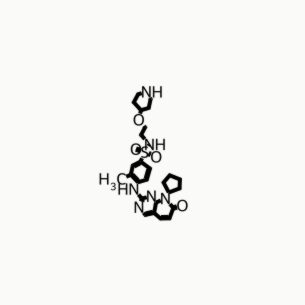 Cc1cc(S(=O)(=O)NCCOC2CCNCC2)ccc1Nc1ncc2ccc(=O)n(C3CCCC3)c2n1